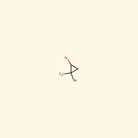 CC(C)C1(C(F)(F)F)CC1Br